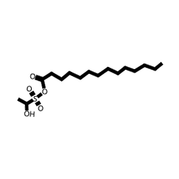 CCCCCCCCCCCCCC(=O)OS(=O)(=O)C(C)O